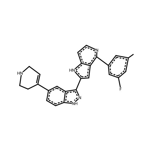 Cc1cc(F)cc(-c2nccc3[nH]c(-c4n[nH]c5ccc(C6=CCNCC6)cc45)cc23)c1